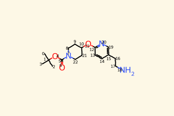 CC(C)(C)OC(=O)N1CCC(Oc2ccc(CCN)cn2)CC1